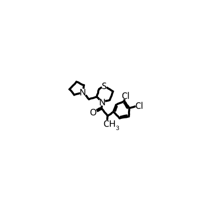 CC(C(=O)N1CCSCC1CN1CCCC1)c1ccc(Cl)c(Cl)c1